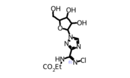 CCOC(=O)N/C(=N/Cl)c1ncn(C2OC(CO)C(O)C2O)n1